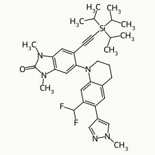 CC(C)[Si](C#Cc1cc2c(cc1N1CCCc3cc(-c4cnn(C)c4)c(C(F)F)cc31)n(C)c(=O)n2C)(C(C)C)C(C)C